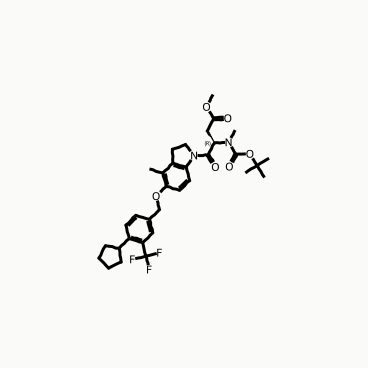 COC(=O)C[C@H](C(=O)N1CCc2c1ccc(OCc1ccc(C3CCCC3)c(C(F)(F)F)c1)c2C)N(C)C(=O)OC(C)(C)C